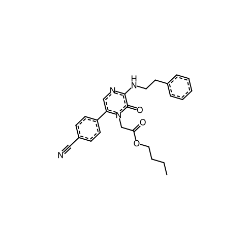 CCCCOC(=O)Cn1c(-c2ccc(C#N)cc2)cnc(NCCc2ccccc2)c1=O